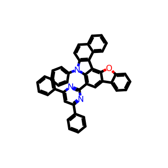 c1ccc(-c2cc(-c3ccccc3)nc(-c3cc4c5ccccc5oc4c4c5c6ccccc6ccc5n(-c5ccccc5)c34)n2)cc1